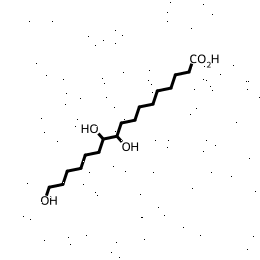 O=C(O)CCCCCCCCC(O)C(O)CCCCCCO